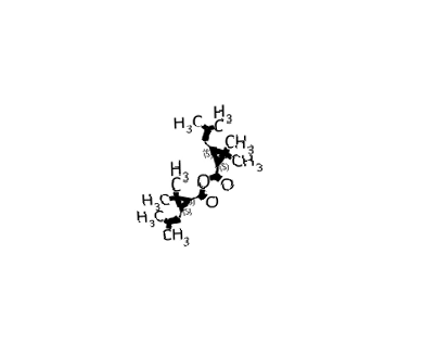 CC(C)=C[C@H]1[C@H](C(=O)OC(=O)[C@H]2[C@H](C=C(C)C)C2(C)C)C1(C)C